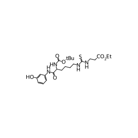 CCOC(=O)CCNC(=S)NCCCCC(NC(=O)OC(C)(C)C)C(=O)Nc1cccc(O)c1